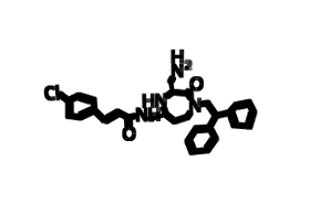 NC[C@@H]1N[C@H](CNC(=O)C=Cc2ccc(Cl)cc2)CCN(CC(c2ccccc2)c2ccccc2)C1=O